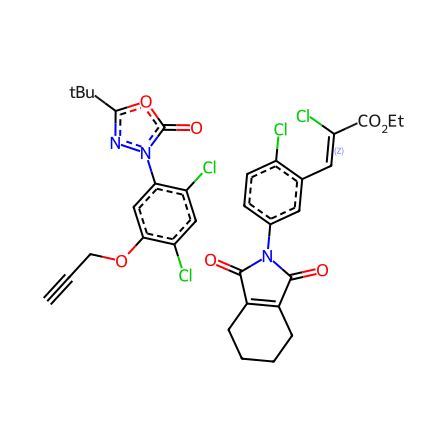 C#CCOc1cc(-n2nc(C(C)(C)C)oc2=O)c(Cl)cc1Cl.CCOC(=O)/C(Cl)=C/c1cc(N2C(=O)C3=C(CCCC3)C2=O)ccc1Cl